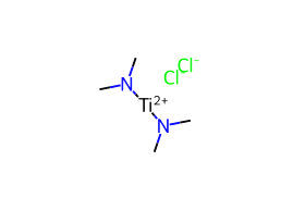 C[N](C)[Ti+2][N](C)C.[Cl-].[Cl-]